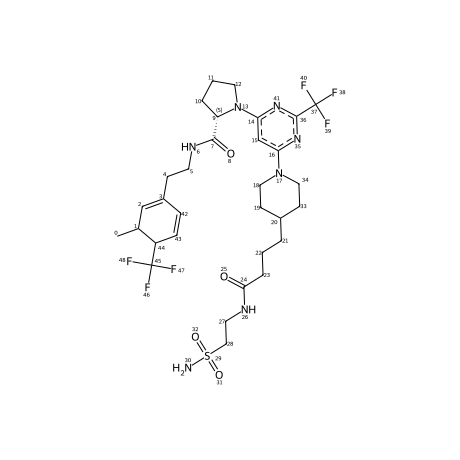 CC1C=C(CCNC(=O)[C@@H]2CCCN2c2cc(N3CCC(CCCC(=O)NCCS(N)(=O)=O)CC3)nc(C(F)(F)F)n2)C=CC1C(F)(F)F